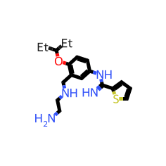 CCC(CC)Oc1ccc(NC(=N)c2cccs2)cc1CNCCN